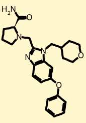 NC(=O)[C@@H]1CCCN1Cc1nc2ccc(Oc3ccccc3)cc2n1CC1CCOCC1